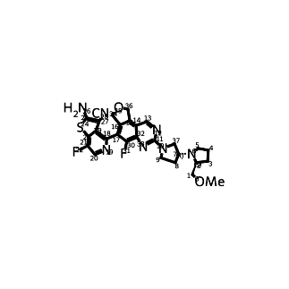 COC[C@@H]1CCCN1[C@@H]1CCN(c2ncc3c4c(c(-c5ncc(F)c6sc(N)c(C#N)c56)c(F)c3n2)COC4)C1